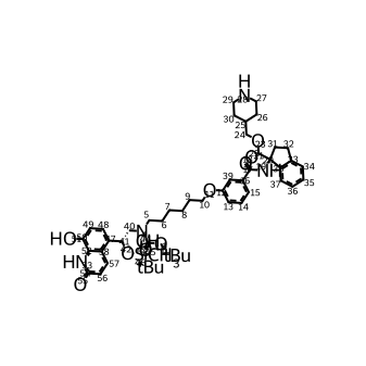 CC(C)(C)OC(=O)N(CCCCCCOc1cccc(C(=O)NC2(C(=O)OCC3CCNCC3)CCc3ccccc32)c1)C[C@H](O[Si](C)(C)C(C)(C)C)c1ccc(O)c2[nH]c(=O)ccc12